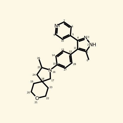 Cc1[nH]nc(-c2ccncc2)c1-c1ccc(N2CC3(CCOCC3)CC2C)cc1